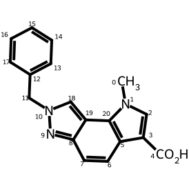 Cn1cc(C(=O)O)c2ccc3nn(Cc4ccccc4)cc3c21